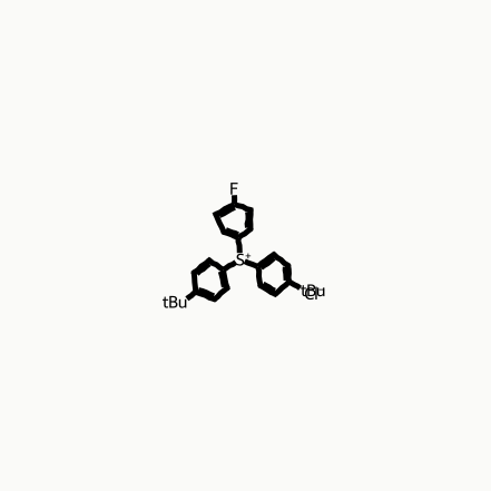 CC(C)(C)c1ccc([S+](c2ccc(F)cc2)c2ccc(C(C)(C)C)cc2)cc1.[Cl-]